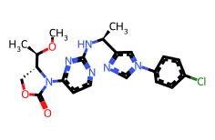 CO[C@H](C)[C@H]1COC(=O)N1c1ccnc(N[C@@H](C)c2cn(-c3ccc(Cl)cc3)cn2)n1